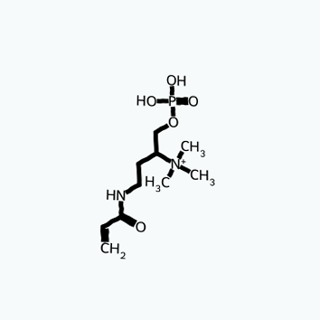 C=CC(=O)NCCC(COP(=O)(O)O)[N+](C)(C)C